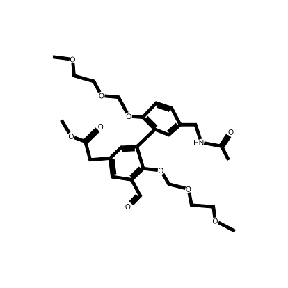 COCCOCOc1ccc(CNC(C)=O)cc1-c1cc(CC(=O)OC)cc(C=O)c1OCOCCOC